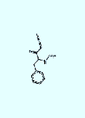 [N-]=[N+]=CC(=O)C(Cc1ccccc1)NC(=O)O